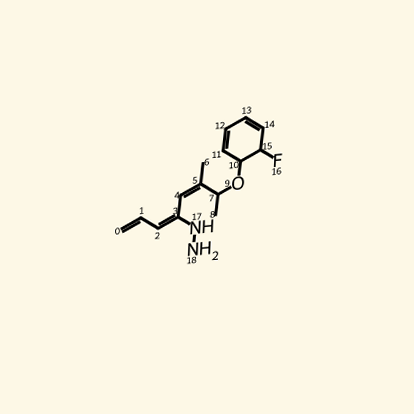 C=C/C=C(\C=C(\C)C(C)OC1C=CC=CC1F)NN